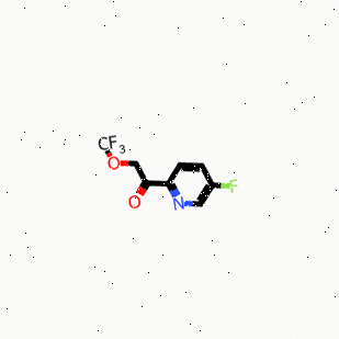 O=C(COC(F)(F)F)c1ccc(F)cn1